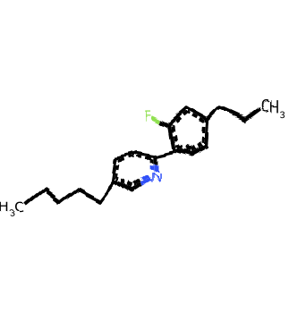 CCCCCc1ccc(-c2ccc(CCC)cc2F)nc1